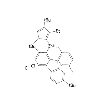 CCC1=[C](/[Zr+2](=[CH]/c2ccc(C)cc2)[c]2c(C(C)(C)C)ccc3c2Cc2cc(C(C)(C)C)ccc2-3)C(C)C=C1C(C)(C)C.[Cl-].[Cl-]